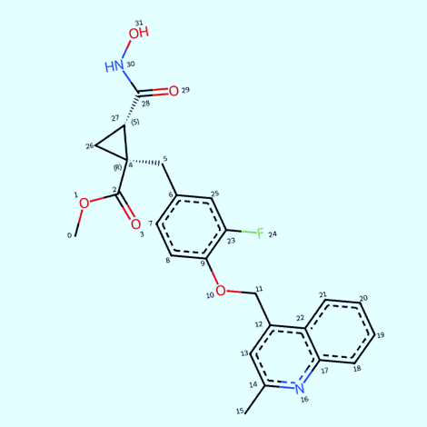 COC(=O)[C@@]1(Cc2ccc(OCc3cc(C)nc4ccccc34)c(F)c2)C[C@@H]1C(=O)NO